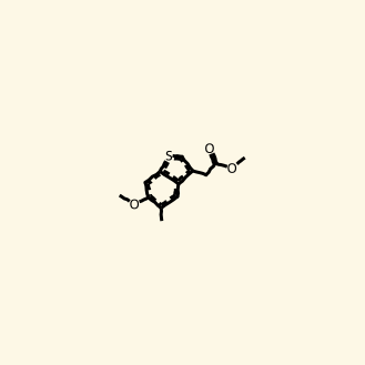 COC(=O)Cc1csc2cc(OC)c(C)cc12